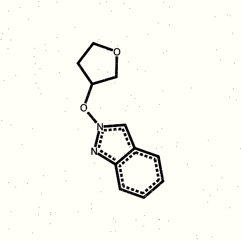 c1ccc2nn(OC3CCOC3)cc2c1